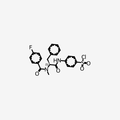 CN(C(=O)c1ccc(F)cc1)[C@@H](Cc1ccccc1)C(=O)Nc1ccc(S(=O)(=O)Cl)cc1